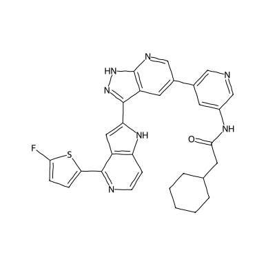 O=C(CC1CCCCC1)Nc1cncc(-c2cnc3[nH]nc(-c4cc5c(-c6ccc(F)s6)nccc5[nH]4)c3c2)c1